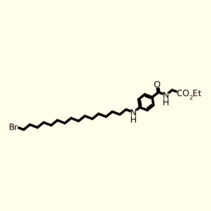 CCOC(=O)CNC(=O)c1ccc(NCCCCCCCCCCCCCCCCBr)cc1